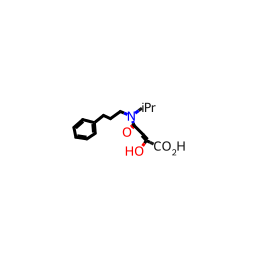 CC(C)N(CCCc1ccccc1)C(=O)C=C(O)C(=O)O